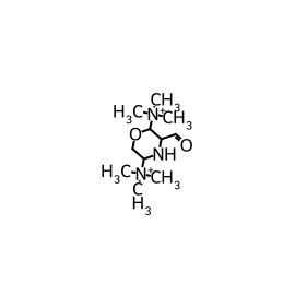 C[N+](C)(C)C1COC([N+](C)(C)C)C(C=O)N1